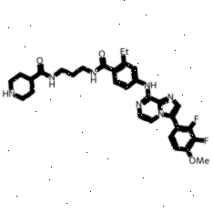 CCc1cc(Nc2nccn3c(-c4ccc(OC)c(F)c4F)cnc23)ccc1C(=O)NCCCNC(=O)C1CCNCC1